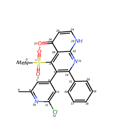 CNS(=O)(=O)c1c(-c2cc(C)nc(Cl)c2)c(-c2ccccc2)nc2[nH]ccc(=O)c12